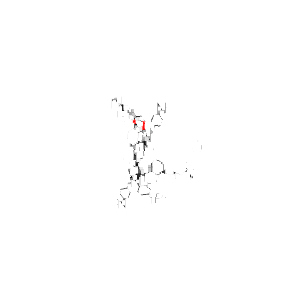 CC(C)c1ccc(N(Cc2ccc(N(C)C)cc2)C(=O)C2(OC(=O)C(=O)OC3(C(=O)N(Cc4ccc(N(C)C)cc4)c4ccc(C(C)C)cc4)CCCc4c(OCCCN(C)C)cccc43)CCCc3c(OCCCN(C)C)cccc32)cc1.O